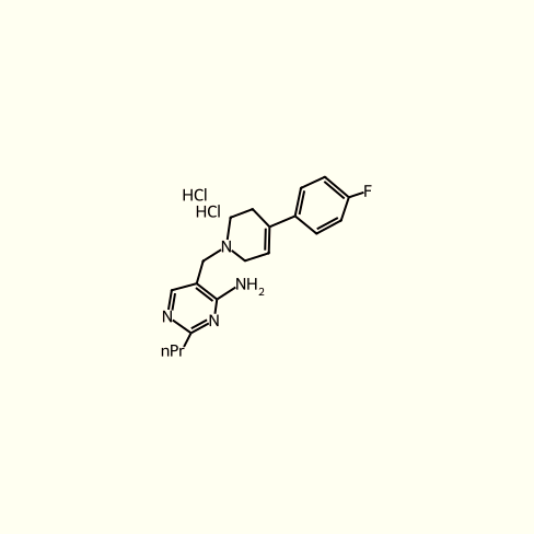 CCCc1ncc(CN2CC=C(c3ccc(F)cc3)CC2)c(N)n1.Cl.Cl